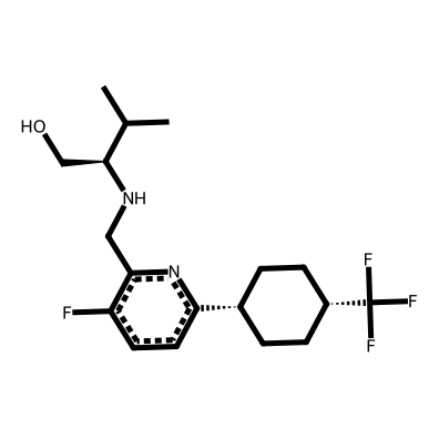 CC(C)[C@H](CO)NCc1nc([C@H]2CC[C@@H](C(F)(F)F)CC2)ccc1F